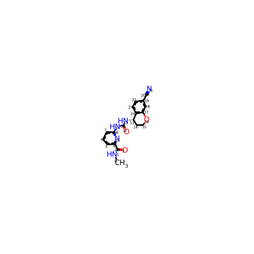 CNC(=O)c1cccc(NC(=O)N[C@H]2CCOc3cc(C#N)ccc32)n1